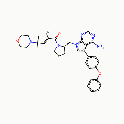 CC(C)(C=C(C#N)C(=O)N1CCC[C@@H]1Cn1cc(-c2ccc(Oc3ccccc3)cc2)c2c(N)ncnc21)N1CCOCC1